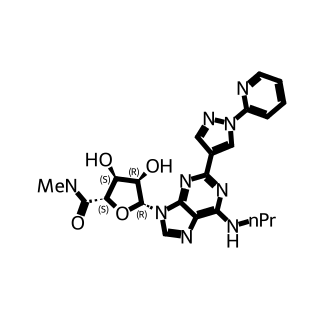 CCCNc1nc(-c2cnn(-c3ccccn3)c2)nc2c1ncn2[C@@H]1O[C@H](C(=O)NC)[C@@H](O)[C@H]1O